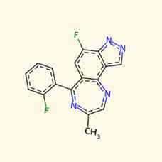 Cc1cnc2c(cc(F)c3nncc32)c(-c2ccccc2F)n1